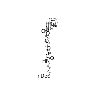 CCCCCCCCCCCCCCCNC(=O)OCCOCCOCCOC(=O)NCc1ccccn1